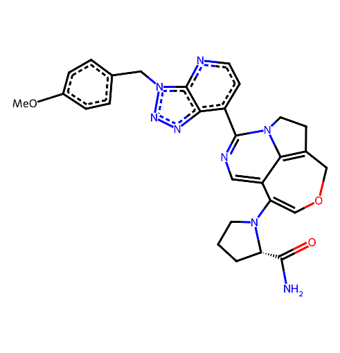 COc1ccc(Cn2nnc3c(C4=NC=C5C(N6CCC[C@H]6C(N)=O)=COCC6=C5N4CC6)ccnc32)cc1